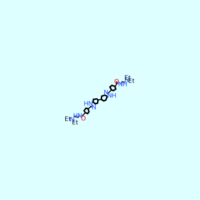 CCN(CC)CCNC(=O)c1ccc(-c2nc3cc(-c4ccc5[nH]c(-c6ccc(C(=O)NCCN(CC)CC)cc6)nc5c4)ccc3[nH]2)cc1